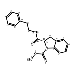 CC(C)(C)OC(=O)N1c2ccccc2C[C@H]1C(=O)NCCc1ccccc1